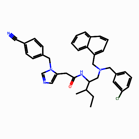 CCC(C)C(CN(Cc1cccc(Cl)c1)Cc1cccc2ccccc12)NC(=O)Cc1cncn1Cc1ccc(C#N)cc1